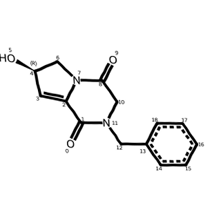 O=C1C2=C[C@@H](O)CN2C(=O)CN1Cc1ccccc1